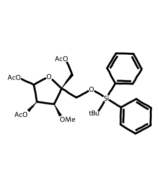 CO[C@H]1[C@@H](OC(C)=O)C(OC(C)=O)O[C@]1(COC(C)=O)CO[Si](c1ccccc1)(c1ccccc1)C(C)(C)C